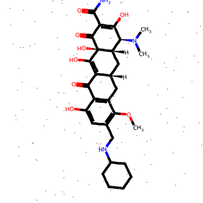 COc1c(CNC2CCCCC2)cc(O)c2c1C[C@H]1C[C@H]3[C@H](N(C)C)C(O)=C(C(N)=O)C(=O)[C@@]3(O)C(O)=C1C2=O